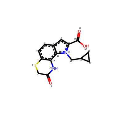 O=C1CSc2ccc3cc(C(=O)O)n(CC4CC4)c3c2N1